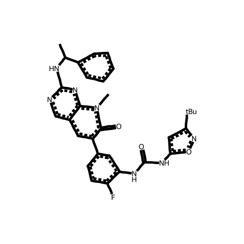 CC(Nc1ncc2cc(-c3ccc(F)c(NC(=O)Nc4cc(C(C)(C)C)no4)c3)c(=O)n(C)c2n1)c1ccccc1